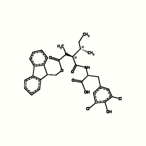 CC[C@H](C)[C@@H](C(=O)NC(Cc1cc(Cl)c(O)c(Cl)c1)C(=O)O)N(C)C(=O)OCC1c2ccccc2-c2ccccc21